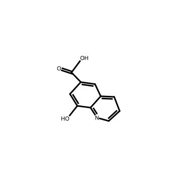 O=C(O)c1cc(O)c2ncccc2c1